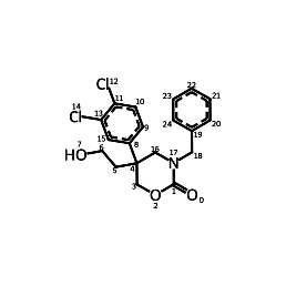 O=C1OCC(CCO)(c2ccc(Cl)c(Cl)c2)CN1Cc1ccccc1